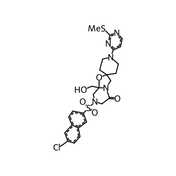 CSc1nccc(N2CCC3(CC2)CN2C(=O)CN(S(=O)(=O)c4ccc5cc(Cl)ccc5c4)CC2(CO)O3)n1